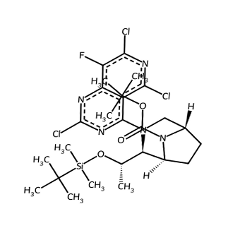 C[C@H](O[Si](C)(C)C(C)(C)C)[C@@H]1[C@@H]2CC[C@@H](CN1c1nc(Cl)nc3c(F)c(Cl)nc(Cl)c13)N2C(=O)OC(C)(C)C